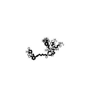 CC(C)(C)c1cnc(C(CCC(N)=O)NC(=O)[C@@H]2CC[C@@H]3CCN(C(=O)CCCCCC#Cc4cccc5c4CN(C4CCC(=O)NC4=O)C5=O)C[C@H](NC(=O)c4cc5cc(C(F)(F)P(=O)(O)O)ccc5s4)C(=O)N32)s1